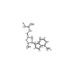 COP(O)OC[C@@H]1CC(O)[C@H](n2cnc3c(N)ncnc32)O1